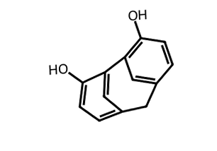 Oc1ccc2cc1-c1cc(ccc1O)C2